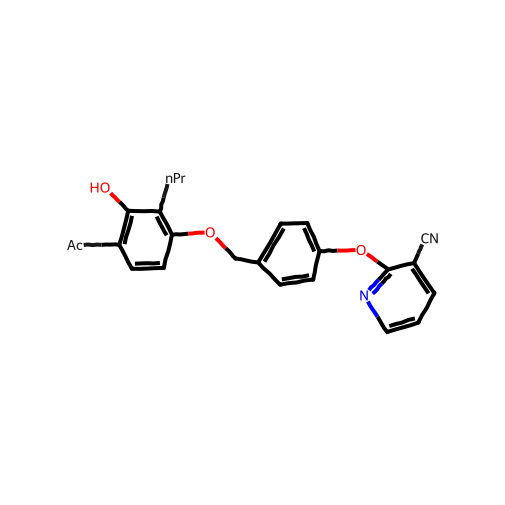 CCCc1c(OCc2ccc(Oc3ncccc3C#N)cc2)ccc(C(C)=O)c1O